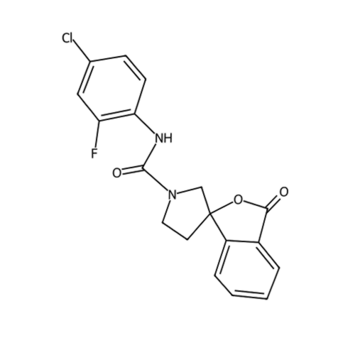 O=C1OC2(CCN(C(=O)Nc3ccc(Cl)cc3F)C2)c2ccccc21